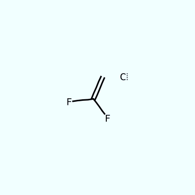 C=C(F)F.[C]